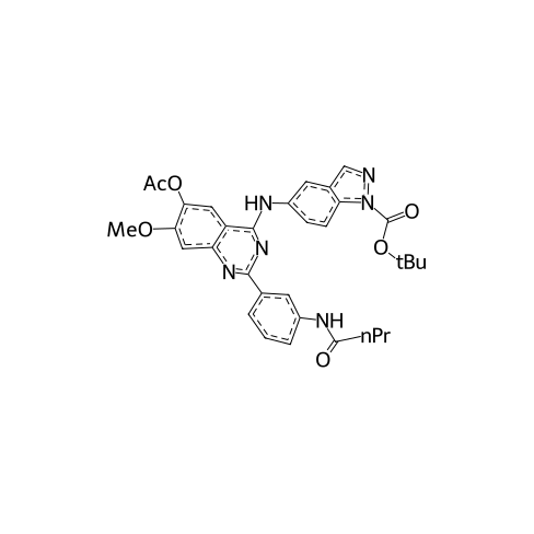 CCCC(=O)Nc1cccc(-c2nc(Nc3ccc4c(cnn4C(=O)OC(C)(C)C)c3)c3cc(OC(C)=O)c(OC)cc3n2)c1